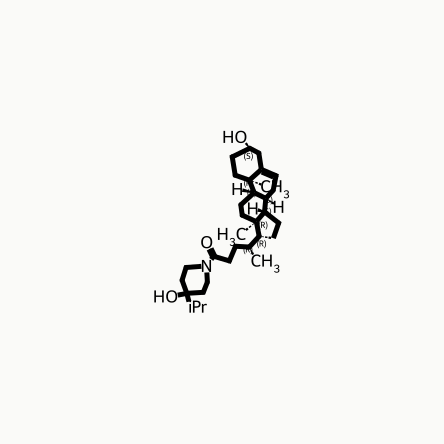 CC(C)C1(O)CCN(C(=O)CC[C@@H](C)[C@H]2CC[C@H]3[C@@H]4CC=C5C[C@@H](O)CC[C@]5(C)[C@H]4CC[C@]23C)CC1